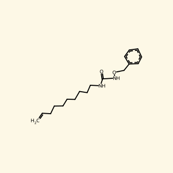 C=CCCCCCCCCNC(=O)NOCc1ccccc1